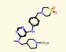 CN(CC1CCN(C(=O)O)CC1)c1cc(Nc2ccc(CN3CCS(=O)(=O)CC3)cc2)ncn1